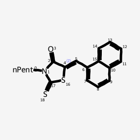 CCCCCN1C(=O)/C(=C/c2cccc3ccccc23)SC1=S